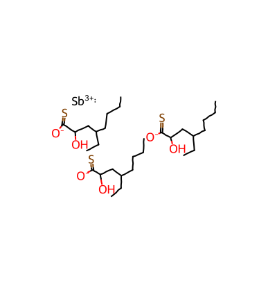 CCCCC(CC)CC(O)C([O-])=S.CCCCC(CC)CC(O)C([O-])=S.CCCCC(CC)CC(O)C([O-])=S.[Sb+3]